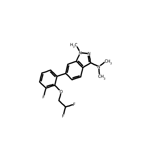 CN(C)c1nn(C)c2cc(-c3cccc(F)c3OCC(F)F)ccc12